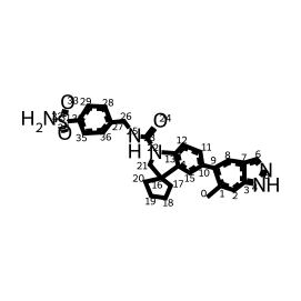 Cc1cc2[nH]ncc2cc1-c1ccc2c(c1)C1(CCCC1)CN2C(=O)NCc1ccc(S(N)(=O)=O)cc1